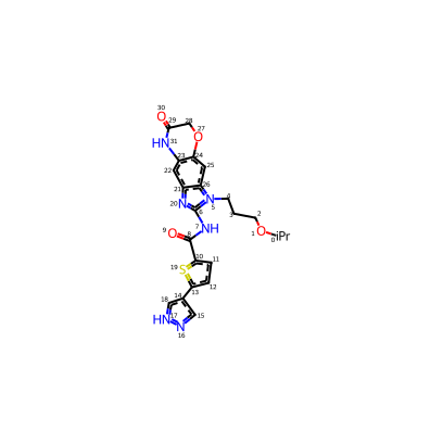 CC(C)OCCCn1c(NC(=O)c2ccc(-c3cn[nH]c3)s2)nc2cc3c(cc21)OCC(=O)N3